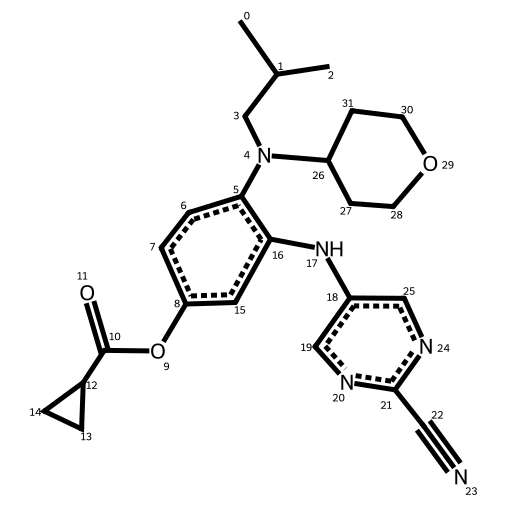 CC(C)CN(c1ccc(OC(=O)C2CC2)cc1Nc1cnc(C#N)nc1)C1CCOCC1